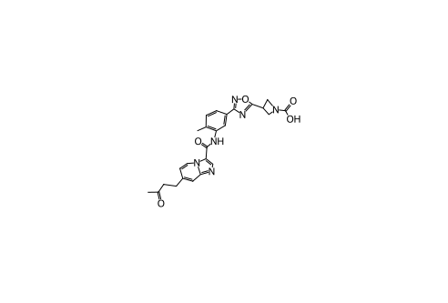 CC(=O)CCc1ccn2c(C(=O)Nc3cc(-c4noc(C5CN(C(=O)O)C5)n4)ccc3C)cnc2c1